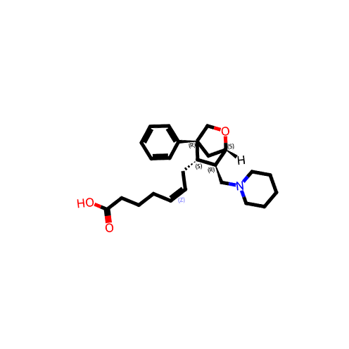 O=C(O)CCC/C=C\C[C@H]1[C@H](CN2CCCCC2)[C@@H]2C[C@@]1(c1ccccc1)CO2